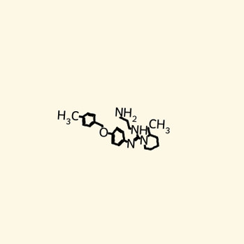 CCC1CCCCN1/C(=N/c1ccc(OCc2ccc(C)cc2)cc1)NCCCN